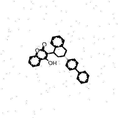 O=c1oc2ccccc2c(O)c1C1C[C@@H](c2ccc(-c3ccccc3)cc2)Cc2ccccc21